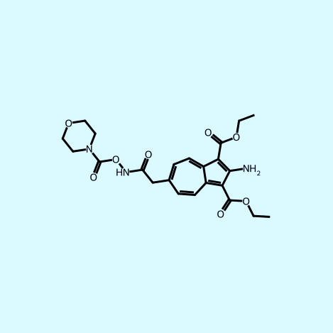 CCOC(=O)c1c2ccc(CC(=O)NOC(=O)N3CCOCC3)ccc-2c(C(=O)OCC)c1N